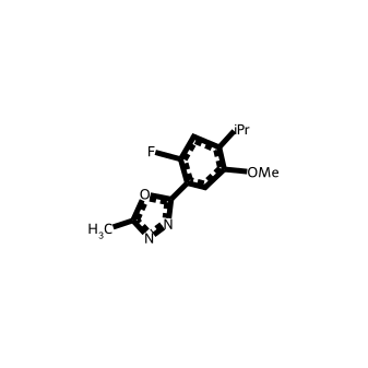 COc1cc(-c2nnc(C)o2)c(F)cc1C(C)C